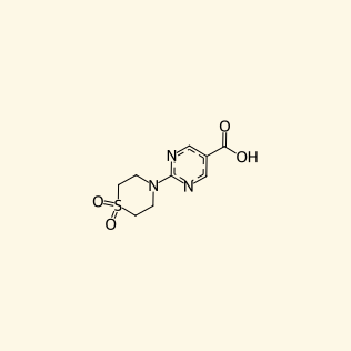 O=C(O)c1cnc(N2CCS(=O)(=O)CC2)nc1